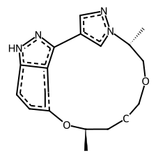 C[C@@H]1CCCOC[C@@H](C)n2cc(cn2)-c2n[nH]c3ccc(cc23)O1